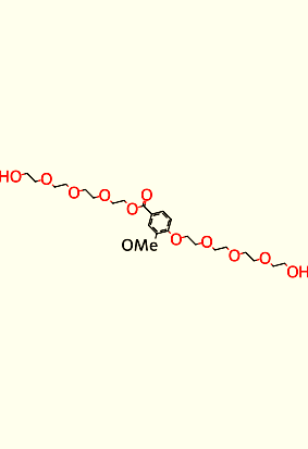 COc1cc(C(=O)OCCOCCOCCOCCO)ccc1OCCOCCOCCOCCO